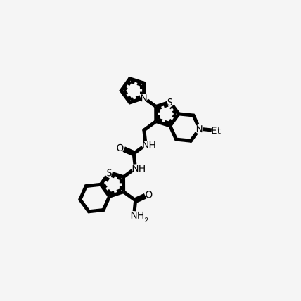 CCN1CCc2c(sc(-n3cccc3)c2CNC(=O)Nc2sc3c(c2C(N)=O)CCCC3)C1